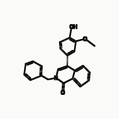 COc1cc(-c2cn(Cc3ccccc3)c(=O)c3ccccc23)ccc1O